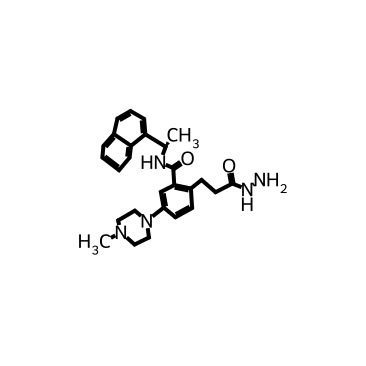 C[C@@H](NC(=O)c1cc(N2CCN(C)CC2)ccc1CCC(=O)NN)c1cccc2ccccc12